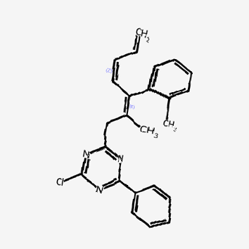 C=C/C=C\C(=C(\C)Cc1nc(Cl)nc(-c2ccccc2)n1)c1ccccc1C